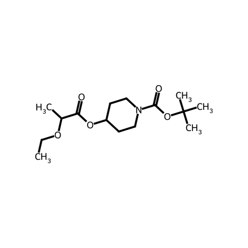 CCOC(C)C(=O)OC1CCN(C(=O)OC(C)(C)C)CC1